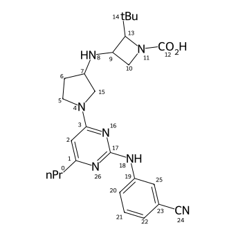 CCCc1cc(N2CCC(NC3CN(C(=O)O)C3C(C)(C)C)C2)nc(Nc2cccc(C#N)c2)n1